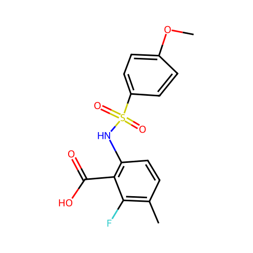 COc1ccc(S(=O)(=O)Nc2ccc(C)c(F)c2C(=O)O)cc1